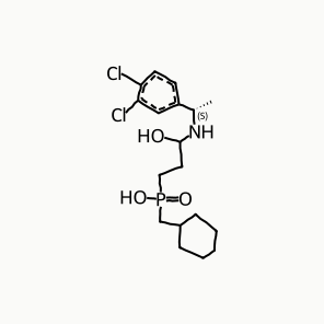 C[C@H](NC(O)CCP(=O)(O)CC1CCCCC1)c1ccc(Cl)c(Cl)c1